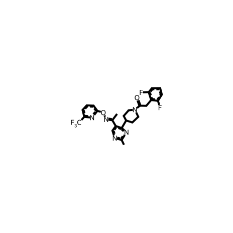 C/C(=N\Oc1cccc(C(F)(F)F)n1)c1cnc(C)nc1C1CCN(C(=O)Cc2c(F)cccc2F)CC1